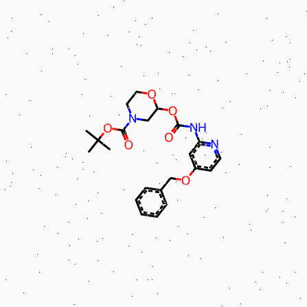 CC(C)(C)OC(=O)N1CCOC(OC(=O)Nc2cc(OCc3ccccc3)ccn2)C1